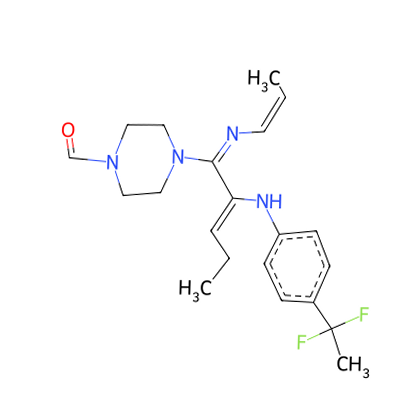 C\C=C/N=C(\C(=C\CC)Nc1ccc(C(C)(F)F)cc1)N1CCN(C=O)CC1